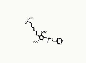 COC(=O)CCCCCCC1[C@@H](OC(C)=O)C[C@@H](NC(=O)OCc2ccccc2)[C@@H]1C=O